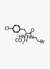 O=C(O)N[C@@H](Cc1ccc(Cl)cc1)C(=O)NCCBr